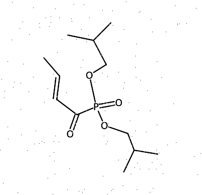 CC=CC(=O)P(=O)(OCC(C)C)OCC(C)C